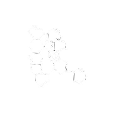 c1ccc(-c2cc(-c3ccccc3)nc(-c3cccc4sc5cc6c(cc5c34)C3(c4ccccc4O6)c4ccccc4-c4ccccc43)c2)cc1